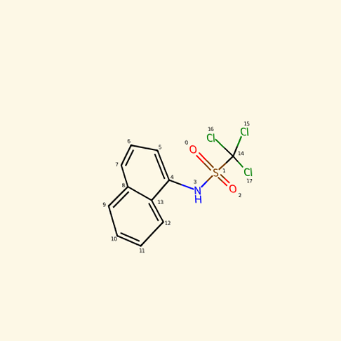 O=S(=O)(Nc1cccc2ccccc12)C(Cl)(Cl)Cl